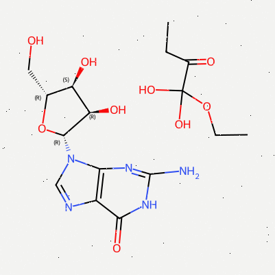 CCOC(O)(O)C(=O)CC.Nc1nc2c(ncn2[C@@H]2O[C@H](CO)[C@@H](O)[C@H]2O)c(=O)[nH]1